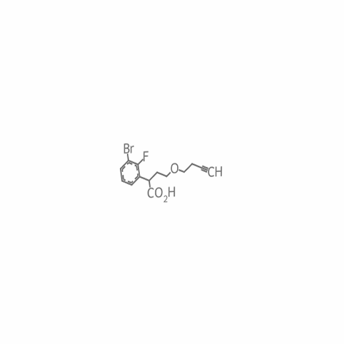 C#CCCOCCC(C(=O)O)c1cccc(Br)c1F